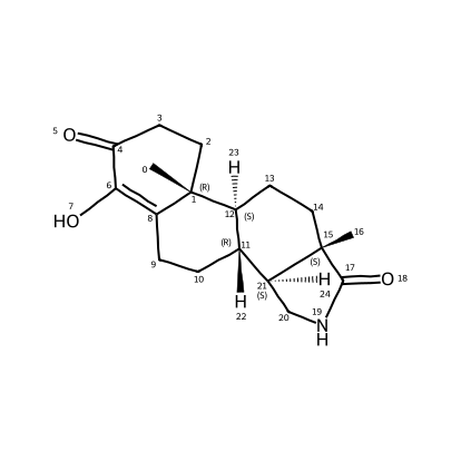 C[C@]12CCC(=O)C(O)=C1CC[C@@H]1[C@@H]2CC[C@]2(C)C(=O)NC[C@@H]12